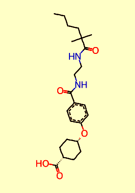 CCCCC(C)(C)C(=O)NCCNC(=O)c1ccc(O[C@H]2CC[C@@H](C(=O)O)CC2)cc1